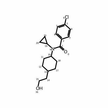 O=C(c1ccc(Cl)cc1)N(C1CCC(CCO)CC1)C1CC1